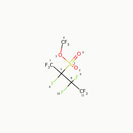 O=S(=O)(OC(F)(F)F)C(F)(C(F)(F)F)C(F)(F)C(F)(F)F